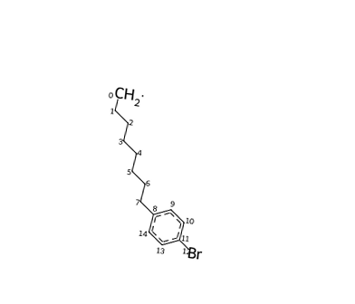 [CH2]CCCCCCCc1ccc(Br)cc1